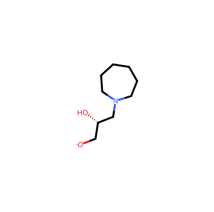 [O]C[C@H](O)CN1CCCCCC1